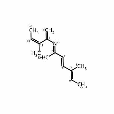 C=C(/N=C(C)/C=C/C(C)=C/C)/C(C)=C\C